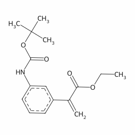 C=C(C(=O)OCC)c1cccc(NC(=O)OC(C)(C)C)c1